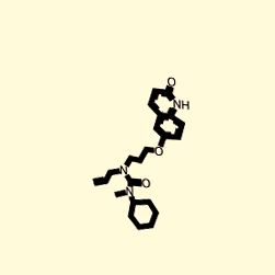 C=CCN(CCCOc1ccc2[nH]c(=O)ccc2c1)C(=O)N(C)C1CCCCC1